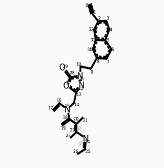 C#Cc1ccc2ccc(CCn3nc(CN(C=C)C(=C)/C(C)=C(C)/N=C\C)oc3=O)cc2c1